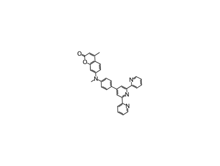 Cc1cc(=O)oc2cc(N(C)c3ccc(-c4cc(-c5ccccn5)nc(-c5ccccn5)c4)cc3)ccc12